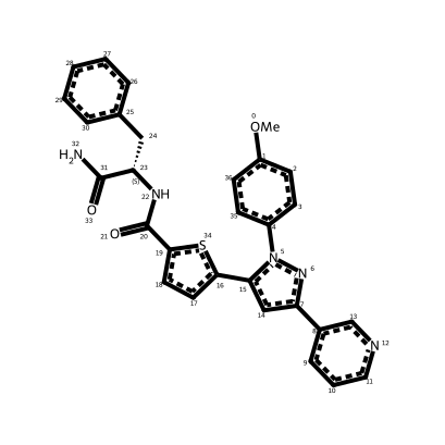 COc1ccc(-n2nc(-c3cccnc3)cc2-c2ccc(C(=O)N[C@@H](Cc3ccccc3)C(N)=O)s2)cc1